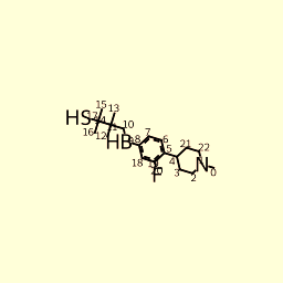 CN1CCC(c2ccc(BCC(C)(C)C(C)(C)S)cc2F)CC1